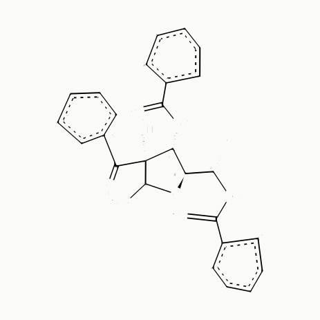 CC(=O)OC1O[C@H]([C@H](C)OC(=O)c2ccccc2)[C@@H](OC(=O)c2ccccc2)[C@]1(O)C(=O)c1ccccc1